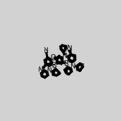 N#Cc1cc(C#N)c2c3c1Oc1cc4c(cc1B3c1ccccc1N2c1ccccc1)B1c2ccccc2N(c2ccccc2)c2ccc(C#N)c(c21)N4c1ccccc1